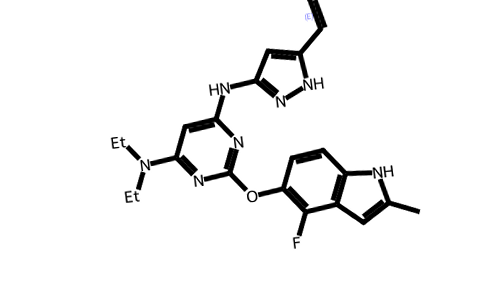 C/C=C/c1cc(Nc2cc(N(CC)CC)nc(Oc3ccc4[nH]c(C)cc4c3F)n2)n[nH]1